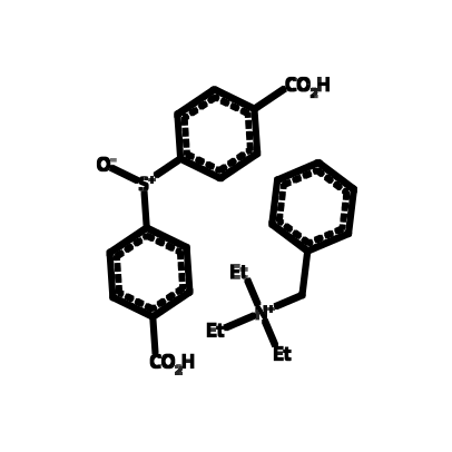 CC[N+](CC)(CC)Cc1ccccc1.O=C(O)c1ccc([S+]([O-])c2ccc(C(=O)O)cc2)cc1